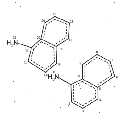 Nc1cccc2ccccc12.Nc1cccc2ccccc12